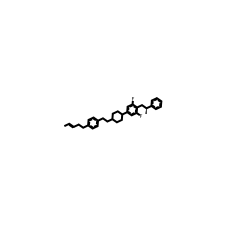 C/C=C/CCc1ccc(CCC2CCC(c3cc(F)c(C[C@H](C)c4ccccc4)c(F)c3)CC2)cc1